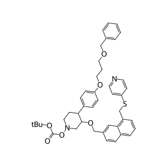 CC(C)(C)OC(=O)ON1CCC(c2ccc(OCCCOCc3ccccc3)cc2)C(OCc2ccc3cccc(CSc4ccncc4)c3c2)C1